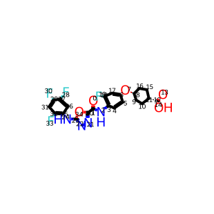 O=C(Nc1ccc(O[C@H]2CC[C@@H](C(=O)O)CC2)cc1F)c1nnc(Nc2cc(F)c(F)cc2F)o1